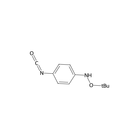 CC(C)(C)ONc1ccc(N=C=O)cc1